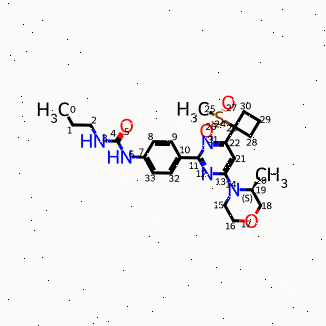 CCCNC(=O)Nc1ccc(-c2nc(N3CCOC[C@@H]3C)cc(C3(S(C)(=O)=O)CCC3)n2)cc1